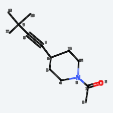 CC(=O)N1CCC(C#CC(C)(C)C)CC1